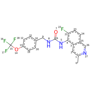 Cc1cc2c(NC(=O)NCc3ccc(OC(F)(F)F)cc3)c(F)ccc2cn1